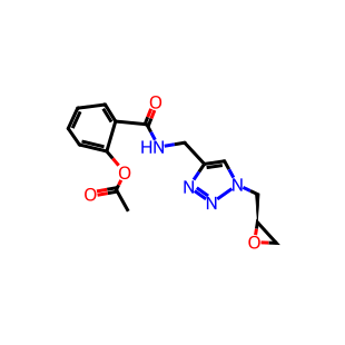 CC(=O)Oc1ccccc1C(=O)NCc1cn(C[C@H]2CO2)nn1